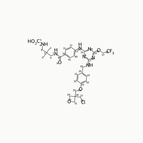 CC(C)(CNC(=O)O)CNC(=O)c1ccc(Nc2nc(NCc3ccc(OCC4(CCl)COC4)cc3)nc(OCC(F)(F)F)n2)cc1